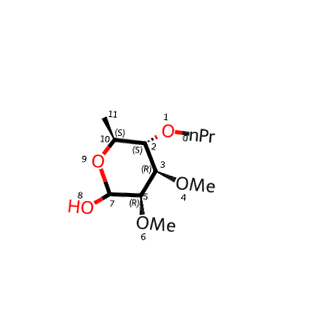 CCCO[C@@H]1[C@@H](OC)[C@@H](OC)C(O)O[C@H]1C